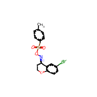 Cc1ccc(S(=O)(=O)O/N=C2\CCOc3ccc(Br)cc32)cc1